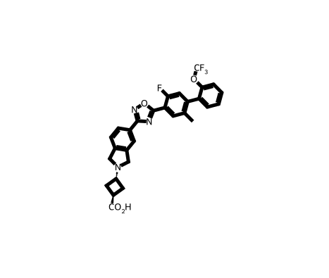 Cc1cc(-c2nc(-c3ccc4c(c3)CN([C@H]3C[C@H](C(=O)O)C3)C4)no2)c(F)cc1-c1ccccc1OC(F)(F)F